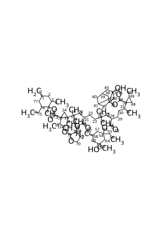 C=C1CC(C)C(C)(OC(=O)C2(C(C)C)CC2(C)C(C)(C)CC(CCC(C)(C)CC(CCC(C)C2(C(=O)OC34CC5CC(CC(O)(C5)C3)C4)CC2C)C(=O)OC2(CC)CC(=C)CC(C)(O)C2)C(=O)OC2CCOC2=O)C(CC)C1